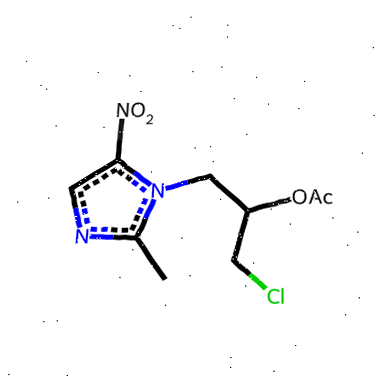 CC(=O)OC(CCl)Cn1c([N+](=O)[O-])cnc1C